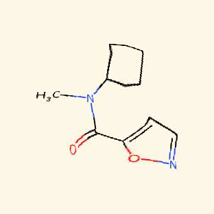 CN(C(=O)c1ccno1)C1CCC1